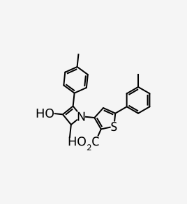 Cc1ccc(C2=C(O)C(C)N2c2cc(-c3cccc(C)c3)sc2C(=O)O)cc1